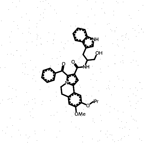 COc1cc2c(cc1OC(C)C)-c1cc(C(=O)NC(CO)Cc3c[nH]c4ccccc34)c(C(=O)c3ccccc3)n1CC2